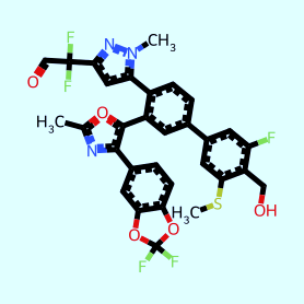 CSc1cc(-c2ccc(-c3cc(C(F)(F)C=O)nn3C)c(-c3oc(C)nc3-c3ccc4c(c3)OC(F)(F)O4)c2)cc(F)c1CO